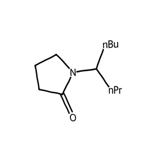 CCCCC(CCC)N1CCCC1=O